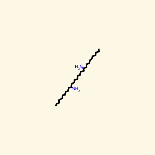 CCCCCCCCCCC(N)CCCCCCCCC(N)CCCCCCCCCC